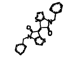 O=C1/C(=C2/C(=O)N(Cc3ccccc3)c3ccsc32)c2sccc2N1Cc1ccccc1